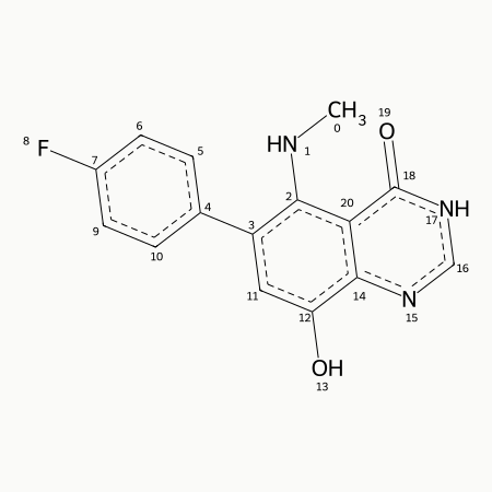 CNc1c(-c2ccc(F)cc2)cc(O)c2nc[nH]c(=O)c12